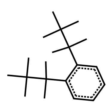 CC(C)(C)C(C)(C)c1ccccc1C(C)(C)C(C)(C)C